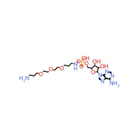 NCCCOCCOCCOCCCNOP(=O)(O)OCC1OC(n2cnc3c(N)ncnc32)C(O)C1O